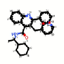 CC(NC(=O)c1c(Cc2cccnc2)c(-c2ccccc2)nc2ccccc12)C1CCCCC1